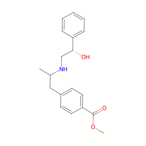 COC(=O)c1ccc(CC(C)NC[C@@H](O)c2ccccc2)cc1